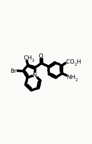 Cc1c(Br)c2ccccn2c1C(=O)c1ccc(N)c(C(=O)O)c1